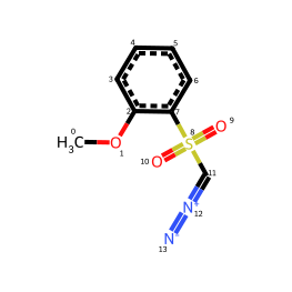 COc1ccccc1S(=O)(=O)C=[N+]=[N-]